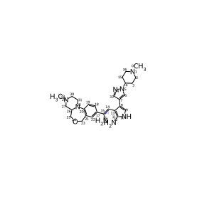 CN1CCC(n2cc(-c3c[nH]c(N)c3/C=C(\N)c3ccc4c(c3)COCC3CN(C)CCN43)cn2)CC1